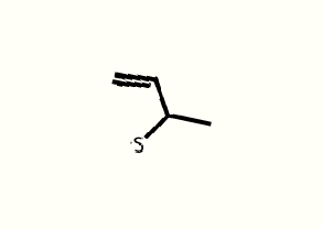 C=CC(C)[S]